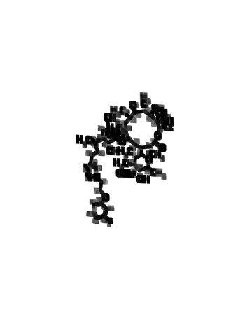 CC[C@H]1OC(=O)[C@H](C)[C@@H](C2C[C@@](C)(OC)[C@@H](O)[C@H](C)O2)[C@H](C)[C@@H](O[C@@H]2O[C@H](C)C[C@H](N(C)CCc3cn(CCOc4cccc(F)c4)nn3)[C@H]2O)[C@](C)(OC)C[C@@H](C)C(=O)[C@H](C)[C@@H](O)[C@]1(C)O